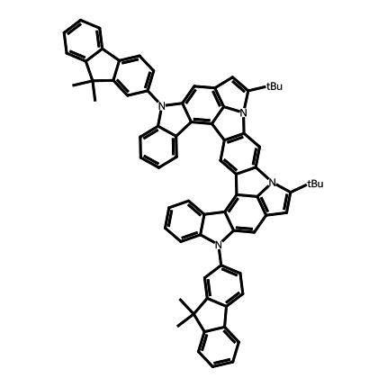 CC(C)(C)c1cc2cc3c(c4ccccc4n3-c3ccc4c(c3)C(C)(C)c3ccccc3-4)c3c4cc5c6c7c8ccccc8n(-c8ccc9c(c8)C(C)(C)c8ccccc8-9)c7cc7cc(C(C)(C)C)n(c5cc4n1c23)c76